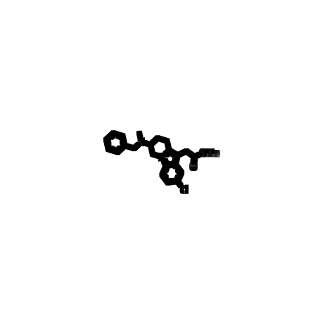 COC(=O)Cc1c2n(c3ccc(Cl)cc13)CC(N(C)Cc1ccccc1)CC2